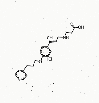 C/C(=C\CNCCC(=O)O)c1ccc(OCCCc2ccccc2)cc1.Cl